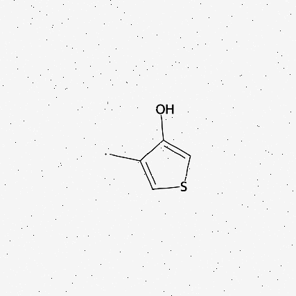 [CH2]c1cscc1O